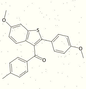 COc1ccc(-c2sc3cc(OC)ccc3c2C(=O)c2ccc(C)cc2)cc1